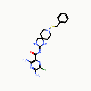 Nc1nc(N)c(C(=O)/N=C2\NCC3(CCN(SCc4ccccc4)CC3)N2)nc1Cl